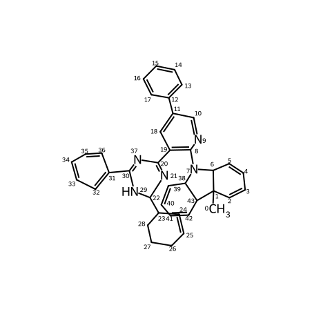 CC12C=CC=CC1N(c1ncc(-c3ccccc3)cc1C1=NC(C3C=CCCC3)NC(c3ccccc3)=N1)C1C=CC=CC12